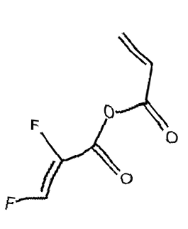 C=CC(=O)OC(=O)C(F)=CF